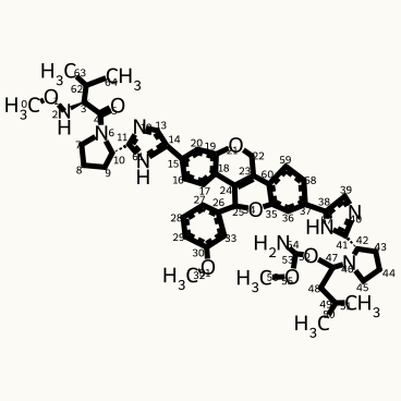 CON[C@H](C(=O)N1CCC[C@H]1c1ncc(-c2ccc3c(c2)OCC2=C3C(c3cccc(OC)c3)Oc3cc(-c4cnc([C@@H]5CCCN5C(CC(C)C)OC(N)OC)[nH]4)ccc32)[nH]1)C(C)C